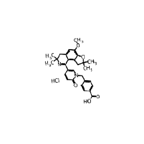 COc1cc2c(c3c1OC(C)(C)C3)C(c1ccc(=O)n(Cc3ccc(C(=O)O)cc3)c1)=NC(C)(C)C2.Cl